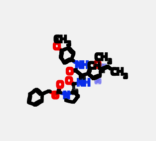 C=C(/C=C\C(=C/C)OC)[C@@H](NC(=O)[C@@H]1CCCN1C(=O)OCc1ccccc1)C(=O)Nc1ccc(OC)cc1